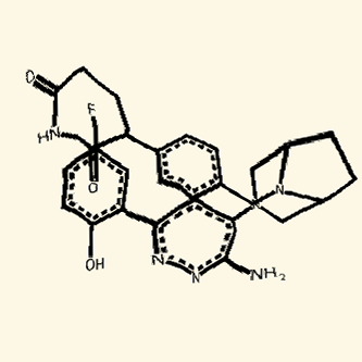 Nc1nnc(-c2cc(F)ccc2O)cc1N1CC2CCC(C1)N2Cc1ccc(C2CCC(=O)NC2=O)cc1